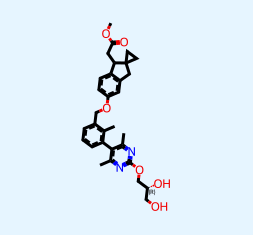 COC(=O)CC1c2ccc(OCc3cccc(-c4c(C)nc(OC[C@H](O)CO)nc4C)c3C)cc2CC12CC2